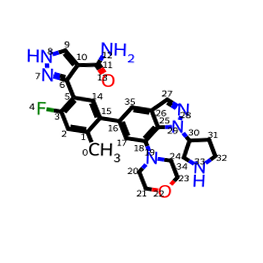 Cc1cc(F)c(-c2n[nH]cc2C(N)=O)cc1-c1cc(N2CCOCC2)c2c(cnn2C2CCNC2)c1